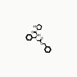 O=C(C[C@@H](NC(=O)[C@H]1CCCN1)c1ccccc1)OCc1ccccc1